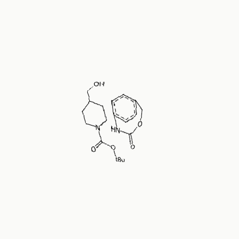 CC(C)(C)OC(=O)N1CCC(CO)CC1.O=C1Nc2ccc(cc2)CO1